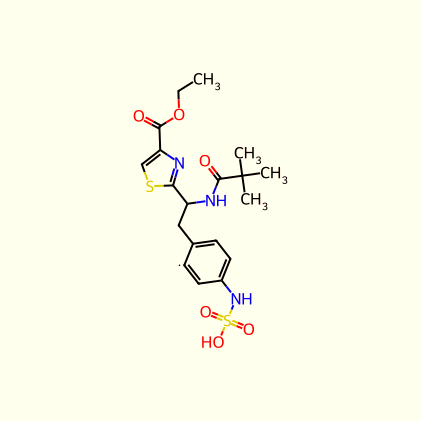 CCOC(=O)c1csc(C(Cc2[c]cc(NS(=O)(=O)O)cc2)NC(=O)C(C)(C)C)n1